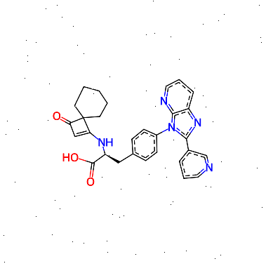 O=C(O)[C@H](Cc1ccc(-n2c(-c3cccnc3)nc3cccnc32)cc1)NC1=CC(=O)C12CCCCC2